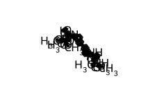 COC(=O)NC(C(=O)N1CC2(C[C@H]1c1nc3c([nH]1)-c1ccc(-c4ccc5c(ccc6nc([C@@H]7CCCN7C(=O)[C@@H](NC(=O)OC)C(C)C)[nH]c65)c4)cc1CC3)OCCO2)[C@@H](C)OC